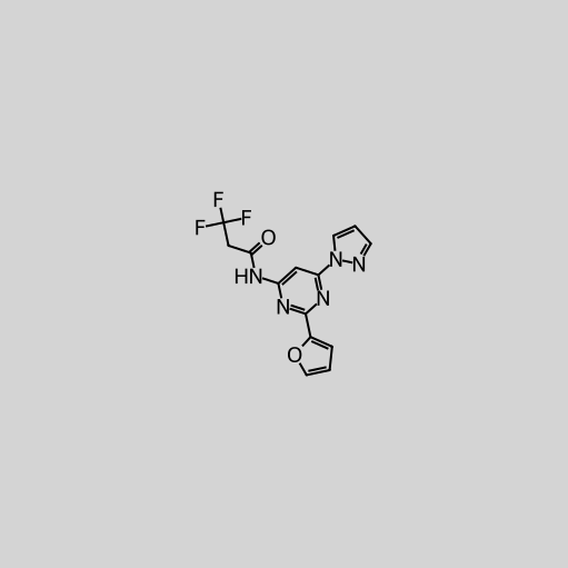 O=C(CC(F)(F)F)Nc1cc(-n2cccn2)nc(-c2ccco2)n1